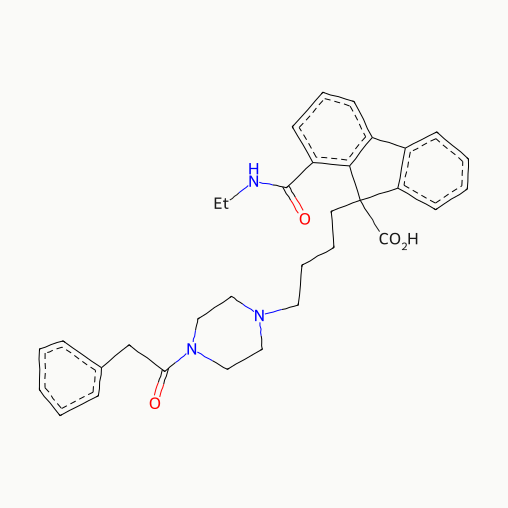 CCNC(=O)c1cccc2c1C(CCCCN1CCN(C(=O)Cc3ccccc3)CC1)(C(=O)O)c1ccccc1-2